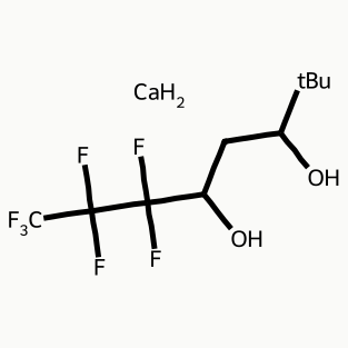 CC(C)(C)C(O)CC(O)C(F)(F)C(F)(F)C(F)(F)F.[CaH2]